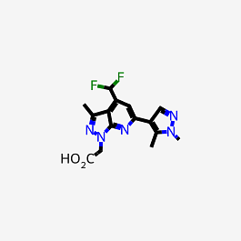 Cc1nn(CC(=O)O)c2nc(-c3cnn(C)c3C)cc(C(F)F)c12